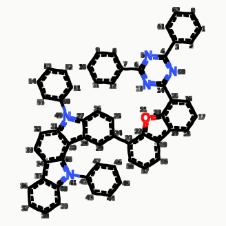 c1ccc(-c2nc(-c3ccccc3)nc(-c3cccc4c3oc3c(-c5ccc6c(c5)c5c(ccc7c8ccccc8n(-c8ccccc8)c75)n6-c5ccccc5)cccc34)n2)cc1